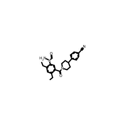 CCc1cc(CC)c(N(N)C=O)cc1C(=O)N1CCC(c2ccc(C#N)cc2)CC1